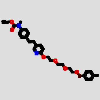 Cc1ccc(SOCCOCCOCCOc2ccc(/C=C/c3ccc(N(C)C(=O)OC(C)(C)C)cc3)cn2)cc1